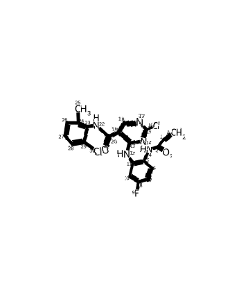 C=CC(=O)Nc1ccc(F)cc1Nc1nc(Cl)ncc1C(=O)Nc1c(C)cccc1Cl